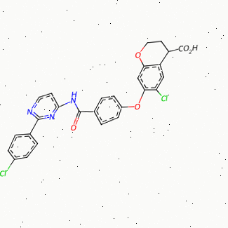 O=C(Nc1ccnc(-c2ccc(Cl)cc2)n1)c1ccc(Oc2cc3c(cc2Cl)C(C(=O)O)CCO3)cc1